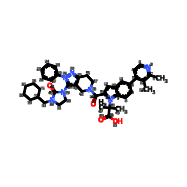 Cc1nccc(-c2ccc3c(c2)cc(C(=O)N2CCc4nn(-c5ccccc5)c(N5CCN(CC6CCCCC6)C5=O)c4C2)n3C(C)(C)C(=O)O)c1C